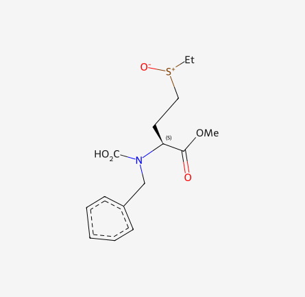 CC[S+]([O-])CC[C@@H](C(=O)OC)N(Cc1ccccc1)C(=O)O